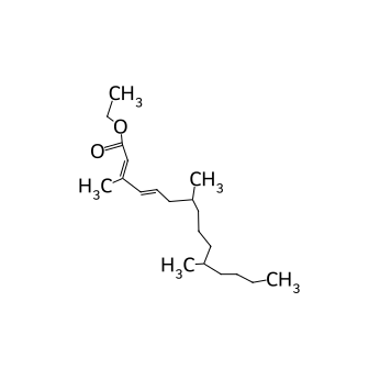 CCCCC(C)CCCC(C)CC=CC(C)=CC(=O)OCC